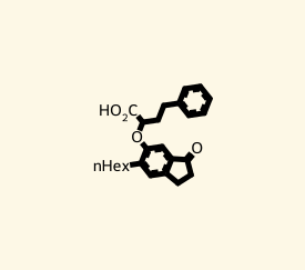 CCCCCCc1cc2c(cc1OC(CCc1ccccc1)C(=O)O)C(=O)CC2